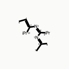 C/C=C(/N=C(\N=C(C)C)C(C)C)C(C)C